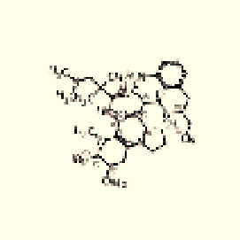 CC[C@H](C)[C@@H]([C@@H](CC(=O)N1CCC[C@H]1[C@H](OC)[C@@H](C)C(=O)N(C)[C@H](CC#N)Cc1cccc(N)c1)OC)N(C)C(=O)[C@@H](NC(=O)C(C)(C)CN(C)C)C(C)C